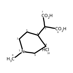 CN1CCC(C(C(=O)O)C(=O)O)CC1.Cl